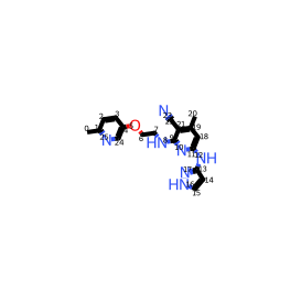 Cc1ccc(OCCNc2nc(Nc3cc[nH]n3)cc(C)c2C#N)cn1